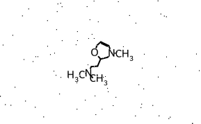 CN(C)CCC1CN(C)C=CCO1